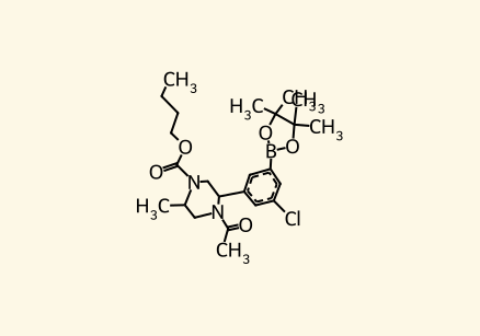 CCCCOC(=O)N1CC(c2cc(Cl)cc(B3OC(C)(C)C(C)(C)O3)c2)N(C(C)=O)CC1C